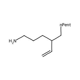 C=CC(CCCN)CCCCCC